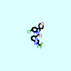 O=C(NCC1(c2ccc(Cl)cc2)CCOCC1)c1cccc2nc(C(F)(F)F)cn12